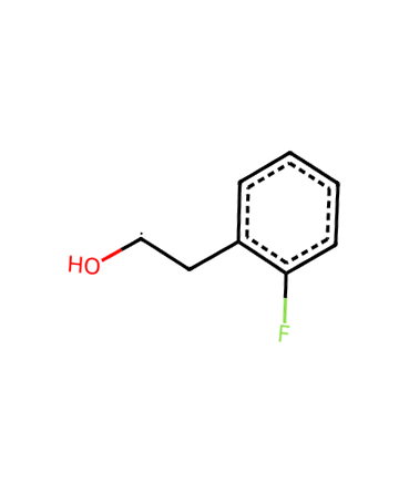 O[CH]Cc1ccccc1F